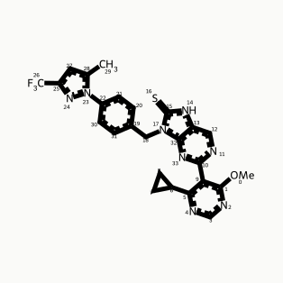 COc1ncnc(C2CC2)c1-c1ncc2[nH]c(=S)n(Cc3ccc(-n4nc(C(F)(F)F)cc4C)cc3)c2n1